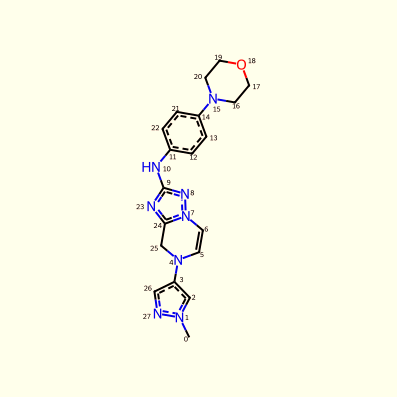 Cn1cc(N2C=Cn3nc(Nc4ccc(N5CCOCC5)cc4)nc3C2)cn1